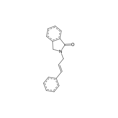 O=C1c2ccccc2CN1C/C=C/c1ccccc1